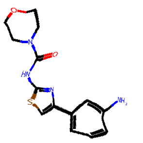 Nc1cccc(-c2csc(NC(=O)N3CCOCC3)n2)c1